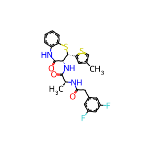 Cc1csc([C@H]2Sc3ccccc3NC(=O)[C@H]2NC(=O)[C@H](C)NC(=O)Cc2cc(F)cc(F)c2)c1